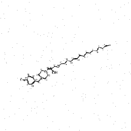 CCCCCCCCCCCCCCCCOCC(O)CN1CCN(Cc2ccc(Cl)cc2)CC1